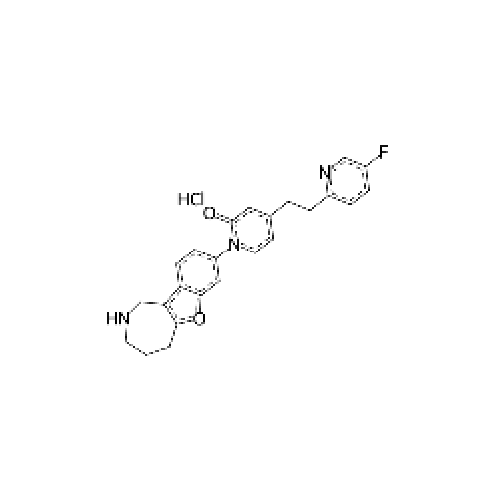 Cl.O=c1cc(CCc2ccc(F)cn2)ccn1-c1ccc2c3c(oc2c1)CCCNC3